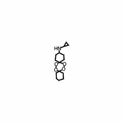 C1CCC2(CC1)OOC1(CCC(NC3CC3)CC1)OO2